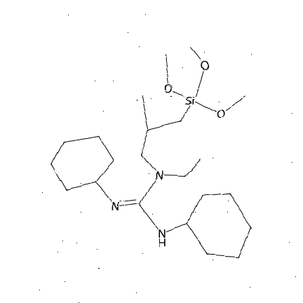 CCN(CC(C)C[Si](OC)(OC)OC)/C(=N\C1CCCCC1)NC1CCCCC1